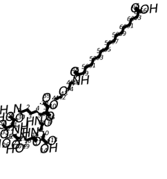 NCCCC[C@H](NC(=O)[C@H](CCC(=O)O)NC(=O)[C@H](CO)NC(=O)[C@H](CO)NC(C(=O)O)C(=O)O)C(=O)C([C]=O)OCCOCCNC(=O)CCCCCCCCCCCCCCCC(=O)O